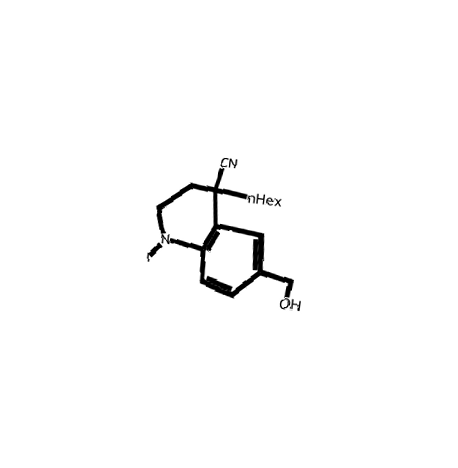 CCCCCCC1(C#N)CCN(I)c2ccc(CO)cc21